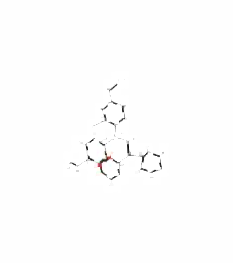 Cc1cc(C=O)ccc1N(C=C(c1ccccc1)c1ccccc1)c1ccc(C=O)cc1